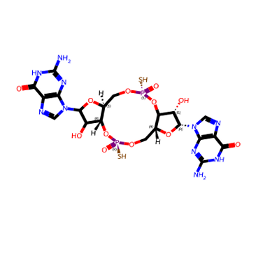 Nc1nc2c(ncn2C2O[C@H]3CO[P@](=O)(S)OC4[C@@H](CO[P@@](=O)(S)O[C@@H]3C2O)O[C@@H](n2cnc3c(=O)[nH]c(N)nc32)[C@H]4O)c(=O)[nH]1